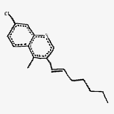 CCCCC/C=C/c1cnc2cc(Cl)ccc2c1C